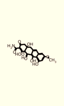 COc1cc(O)c2c(O)c3c(cc2c1)C[C@@]1(O)CC(=O)C(C(N)=O)=C(O)[C@@]1(O)C3=O